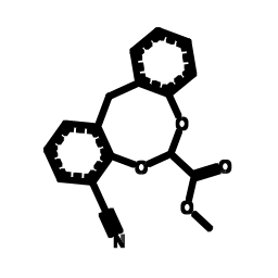 COC(=O)C1Oc2ccccc2Cc2cccc(C#N)c2O1